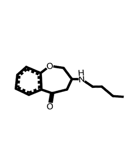 CCCCNC1COc2ccccc2C(=O)C1